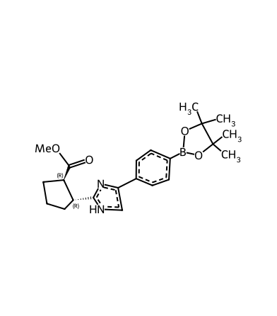 COC(=O)[C@@H]1CCC[C@H]1c1nc(-c2ccc(B3OC(C)(C)C(C)(C)O3)cc2)c[nH]1